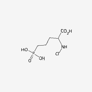 O=C(O)C(CCCP(=O)(O)O)NCl